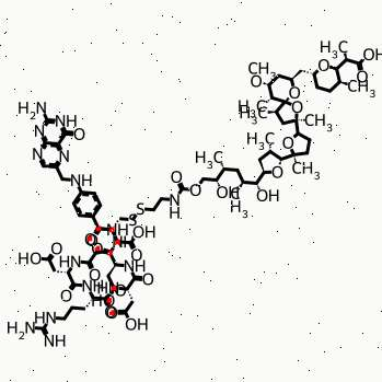 CO[C@@H]1C[C@@H](C[C@H]2CC[C@H](C)C([C@@H](C)C(=O)O)O2)O[C@]2(O[C@@](C)(C3CC[C@@](C)([C@@H]4O[C@@H]([C@H](O)[C@@H](C)C[C@@H](C)[C@H](O)COC(=O)NCCSSC[C@@H](C=O)NC(=O)[C@H](CC(=O)O)NC(=O)[C@H](CC(=O)O)NC(=O)[C@H](CCCNC(=N)N)NC(=O)[C@H](CC(=O)O)NC(=O)CC[C@H](NC(=O)c5ccc(NCc6cnc7nc(N)[nH]c(=O)c7n6)cc5)C(=O)O)C[C@@H]4C)O3)C[C@H]2C)[C@@H]1C